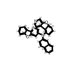 c1ccc2cc(N(c3cnc4c(c3)oc3ccccc34)c3cccc4oc5cnccc5c34)ccc2c1